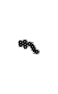 c1ccc2c(-c3c4ccccc4c(-c4ccc5sc6cc7cc8c(cc7cc6c5c4)sc4ccccc48)c4ccccc34)cccc2c1